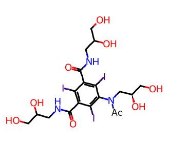 CC(=O)N(C[C@H](O)CO)c1c(I)c(C(=O)NCC(O)CO)c(I)c(C(=O)NCC(O)CO)c1I